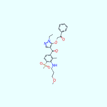 CCn1ncc(C(=O)c2ccc(S(C)(=O)=O)c(NCCCOC)c2C)c1OCC(=O)c1ccccc1